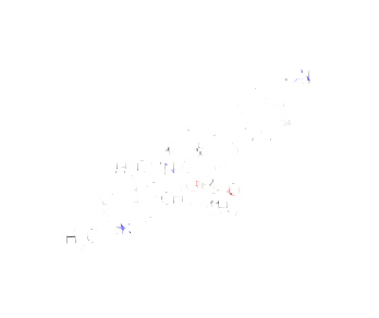 Cc1ccc(C(C)(C)N2CC[C@@](CCc3ccc(C#N)cc3)(CS(C)(=O)=O)C2)cn1